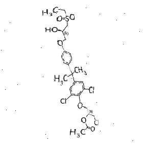 CCS(=O)(=O)C[C@H](O)COc1ccc(C(C)(C)c2cc(Cl)c(OC[C@H](CCl)OC(C)=O)c(Cl)c2)cc1